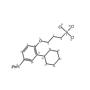 CCCC(C)c1ccc(OCCC[Si](Cl)(Cl)Cl)c(C2CCCCC2)c1